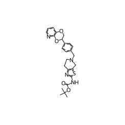 CC(C)(C)OC(=O)Nc1nc2c(s1)CN(Cc1ccc(C3COc4cccnc4O3)cc1)CC2